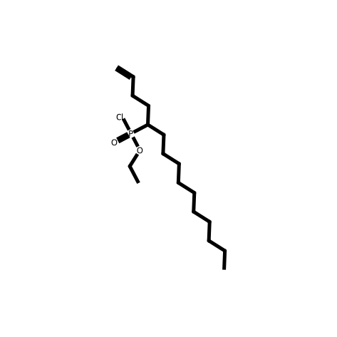 C=CCCC(CCCCCCCCCC)P(=O)(Cl)OCC